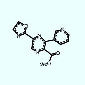 COC(=O)c1ncc(-c2ncco2)nc1-c1cccnc1